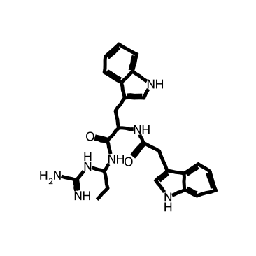 CCC(NC(=N)N)NC(=O)C(Cc1c[nH]c2ccccc12)NC(=O)Cc1c[nH]c2ccccc12